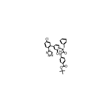 CC(C)(C)OC(=O)c1ccc(NC(=O)[C@@H](Cc2ccccc2)n2ccc(-c3cc(Cl)ccc3-n3cnnn3)cc2=O)cc1